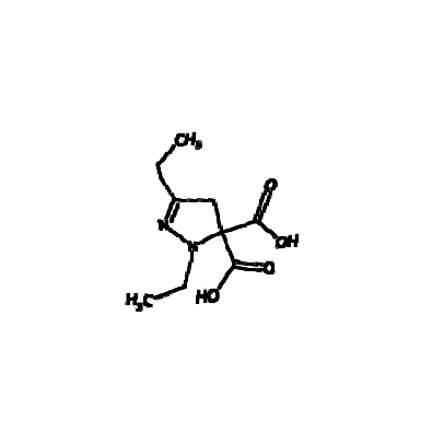 CCC1=NN(CC)C(C(=O)O)(C(=O)O)C1